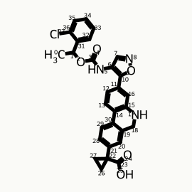 CC(OC(=O)Nc1cnoc1-c1ccc2c(c1)NCc1cc(C3(C(=O)O)CC3)ccc1-2)c1ccccc1Cl